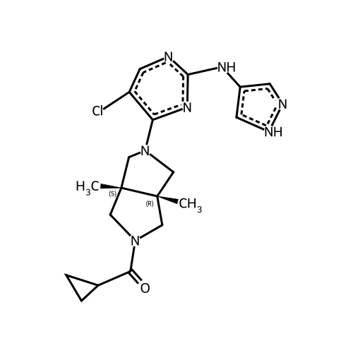 C[C@@]12CN(C(=O)C3CC3)C[C@]1(C)CN(c1nc(Nc3cn[nH]c3)ncc1Cl)C2